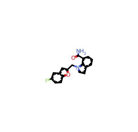 NC(=O)c1cccc2ccn(Cc3cc4cc(F)ccc4o3)c12